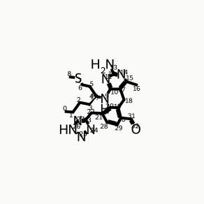 CCCC[C@@H](CCSC)Nc1nc(N)nc(C)c1Cc1cc(Cc2nn[nH]n2)ccc1C=O